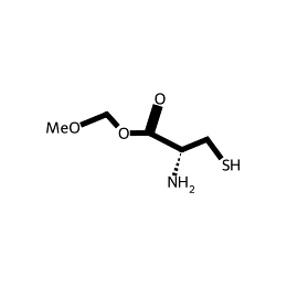 COCOC(=O)[C@@H](N)CS